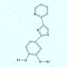 CCOc1ccc(-c2nc(-c3ccccn3)cs2)cc1OCC